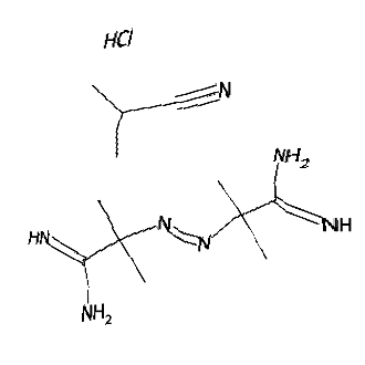 CC(C)(N=NC(C)(C)C(=N)N)C(=N)N.CC(C)C#N.Cl